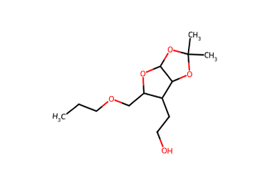 CCCOCC1OC2OC(C)(C)OC2C1CCO